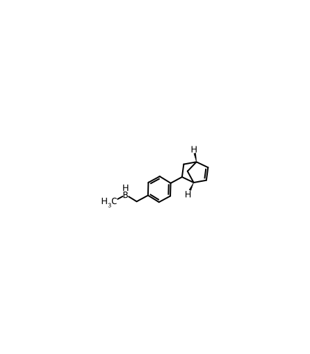 CBCc1ccc(C2C[C@@H]3C=C[C@H]2C3)cc1